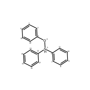 c1ccc(O[SiH](c2ccccc2)c2ccccc2)cc1